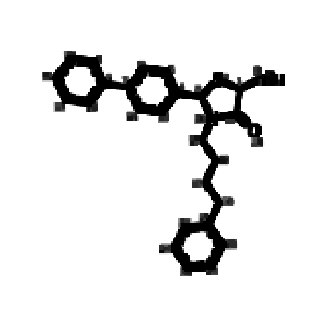 CCCCC1SC(c2ccc(-c3ccccc3)cc2)N(CCCCc2ccccc2)C1=O